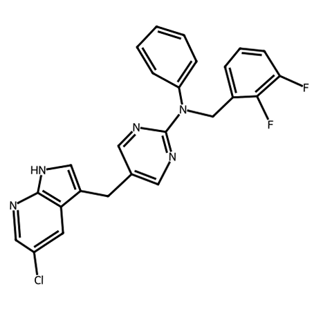 Fc1cccc(CN(c2ccccc2)c2ncc(Cc3c[nH]c4ncc(Cl)cc34)cn2)c1F